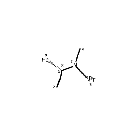 CC[C@@H](C)N(C)C(C)C